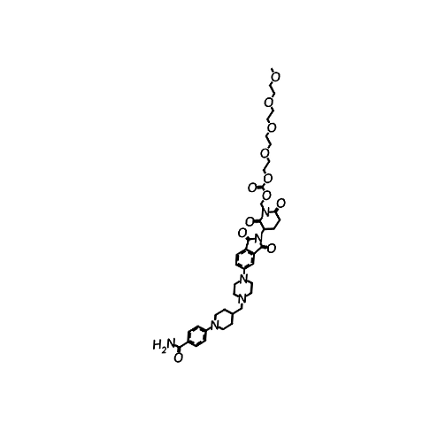 COCCOCCOCCOCCOC(=O)OCN1C(=O)CCC(N2C(=O)c3ccc(N4CCN(CC5CCN(c6ccc(C(N)=O)cc6)CC5)CC4)cc3C2=O)C1=O